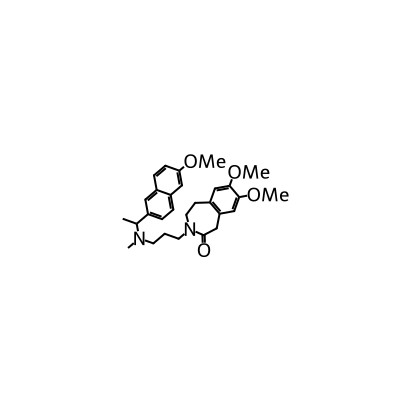 COc1ccc2cc(C(C)N(C)CCCN3CCc4cc(OC)c(OC)cc4CC3=O)ccc2c1